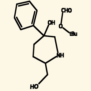 CC(C)(C)OC=O.OCC1CCC(O)(c2ccccc2)CN1